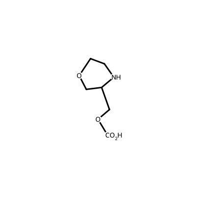 O=C(O)OCC1COCCN1